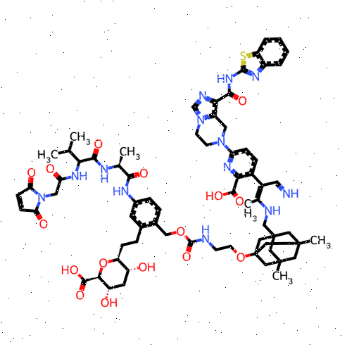 C/C(NCC12CC3(C)CC(C)(C1)CC(OCCNC(=O)OCc1ccc(NC(=O)[C@H](C)NC(=O)C(NC(=O)CN4C(=O)C=CC4=O)C(C)C)cc1CC[C@@H]1O[C@H](C(=O)O)[C@@H](O)C[C@H]1O)(C3)C2)=C(/C=N)c1ccc(N2CCn3cnc(C(=O)Nc4nc5ccccc5s4)c3C2)nc1C(=O)O